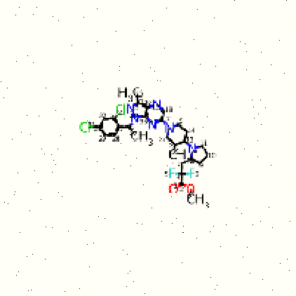 COC(=O)C(F)(F)C[C@@H]1CCCN1C1CCN(c2cnc3c(C)nn(C(C)c4ccc(Cl)cc4Cl)c3n2)CC1C